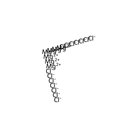 [Cl-].[Cl-].[Cl-].[Cl-].[Cl-].[Cl-].[Cl-].[Cl-].[Cl-].[Cl-].[Cl-].[Cl-].[Cl-].[Cl-].[Mg+2].[Mg+2].[Mg+2].[Mg+2].[Mg+2].[Mg+2].[Mg+2]